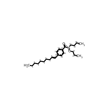 CCCCCCCCC=Cc1ccc(C(=O)N(CCCC)OCCC)cc1